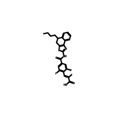 CCCCC1Cc2sc(NC(=O)c3cc(F)c(/C=C(\C)C(=O)O)c(F)c3)nc2-c2ccccc21